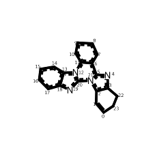 C1=Cc2c(nc3c4ccccc4n4c5ccccc5nc4n23)CC1